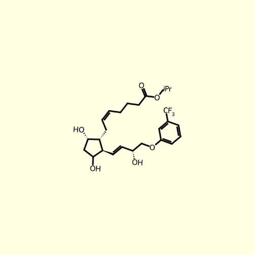 CC(C)OC(=O)CCC/C=C\C[C@H]1[C@@H](O)CC(O)[C@@H]1/C=C/[C@@H](O)COc1cccc(C(F)(F)F)c1